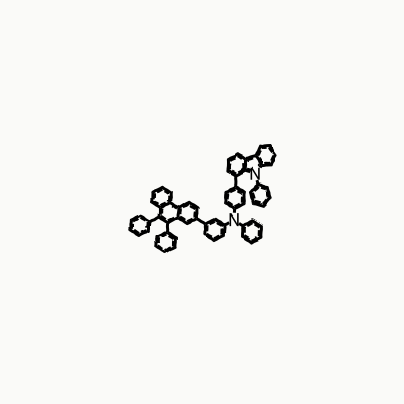 c1ccc(-c2c(-c3ccccc3)c3cc(-c4cccc(N(c5ccccc5)c5ccc(-c6cccc7c8ccccc8n(-c8ccccc8)c67)cc5)c4)ccc3c3ccccc23)cc1